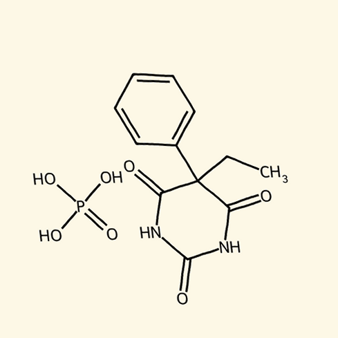 CCC1(c2ccccc2)C(=O)NC(=O)NC1=O.O=P(O)(O)O